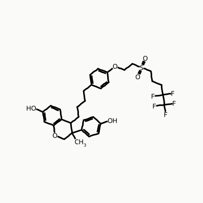 CC1(c2ccc(O)cc2)COc2cc(O)ccc2C1CCCCc1ccc(OCCS(=O)(=O)CCCC(F)(F)C(F)(F)F)cc1